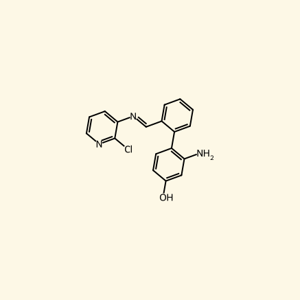 Nc1cc(O)ccc1-c1ccccc1C=Nc1cccnc1Cl